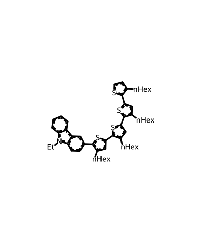 CCCCCCc1cc(-c2sc(-c3sc(-c4sccc4CCCCCC)cc3CCCCCC)cc2CCCCCC)sc1-c1ccc2c(c1)c1ccccc1n2CC